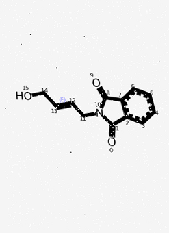 O=C1c2ccccc2C(=O)N1C/C=C/CO